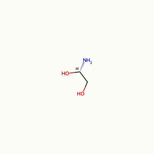 N[C@@H](O)CO